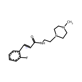 CN1CCN(CCNC(=O)/C=C/c2ccccc2F)CC1